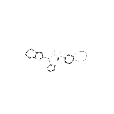 O=S(=O)(N[C@H](c1cc2ccccc2o1)c1cccs1)c1ccc2c(c1)OCCCO2